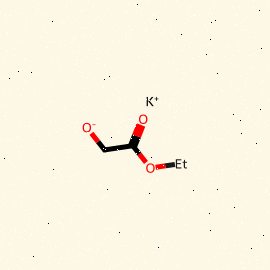 CCOC(=O)C[O-].[K+]